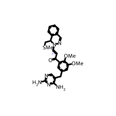 COc1cc(Cc2cnc(N)nc2N)cc(C(=O)/C=C/N2N=Cc3ccccc3C2CSC)c1OC